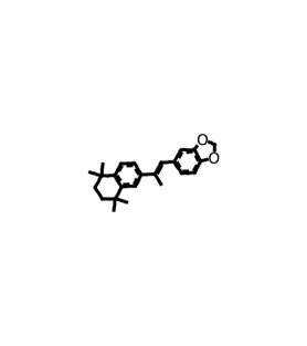 C/C(=C\c1ccc2c(c1)OCO2)c1ccc2c(c1)C(C)(C)CCC2(C)C